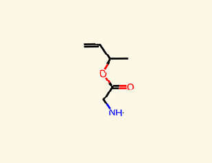 C=CC(C)OC(=O)C[NH]